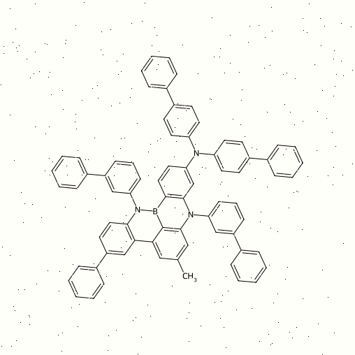 Cc1cc2c3c(c1)N(c1cccc(-c4ccccc4)c1)c1cc(N(c4ccc(-c5ccccc5)cc4)c4ccc(-c5ccccc5)cc4)ccc1B3N(c1cccc(-c3ccccc3)c1)c1ccc(-c3ccccc3)cc1-2